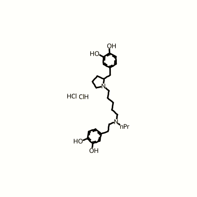 CCCN(CCCCCN1CCCC1Cc1ccc(O)c(O)c1)CCc1ccc(O)c(O)c1.Cl.Cl